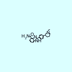 CCN1CCCC(c2ccc(-c3nc4c(C(N)=O)cccc4[nH]3)cc2)C1